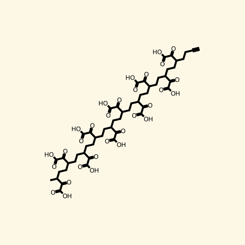 C#CCCC(CCC(CCC(CCC(CCC(CCC(CCC(CCC(CCC(CCC(C)C(=O)C(=O)O)C(=O)C(=O)O)C(=O)C(=O)O)C(=O)C(=O)O)C(=O)C(=O)O)C(=O)C(=O)O)C(=O)C(=O)O)C(=O)C(=O)O)C(=O)C(=O)O)C(=O)C(=O)O